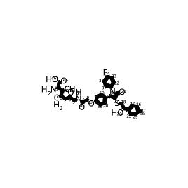 CC(CC(=O)CNC(=O)COc1ccc([C@@H]2[C@@H](SCC(O)c3ccc(F)cc3)C(=O)N2c2ccc(F)cc2)cc1)C(C)[C@@H](N)C(=O)O